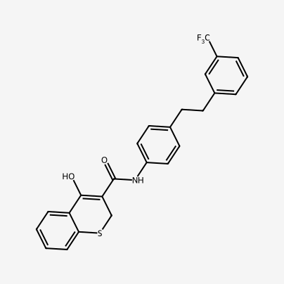 O=C(Nc1ccc(CCc2cccc(C(F)(F)F)c2)cc1)C1=C(O)c2ccccc2SC1